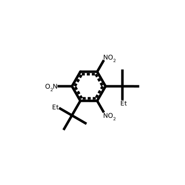 CCC(C)(C)c1c([N+](=O)[O-])cc([N+](=O)[O-])c(C(C)(C)CC)c1[N+](=O)[O-]